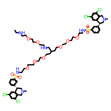 CCNCCOCCOCCNCC(CCOCCOCCOCCNS(=O)(=O)c1cccc([C@@H]2CN(C)Cc3c(Cl)cc(Cl)cc32)c1)CCOCCOCCOCCNS(=O)(=O)c1cccc([C@@H]2CN(C)Cc3c(Cl)cc(Cl)cc32)c1